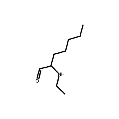 CCCCCC(C=O)NCC